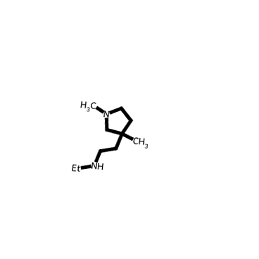 CCNCCC1(C)CCN(C)C1